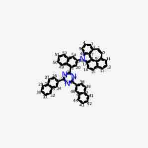 C1=Cc2cccc3c2c2c4c1cccc4ccc2n3-c1cc(-c2nc(-c3ccc4ccccc4c3)nc(-c3ccc4ccccc4c3)n2)c2ccccc2c1